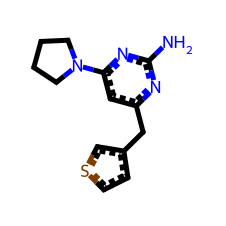 Nc1nc(Cc2ccsc2)cc(N2CCCC2)n1